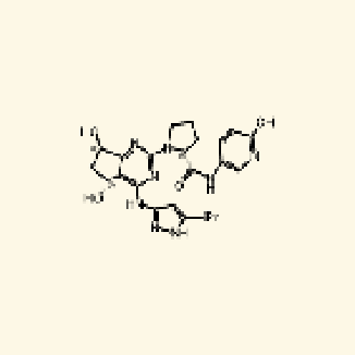 CC(C)c1cc(Nc2nc(N3CCC[C@@H]3C(=O)Nc3ccc(O)nc3)nc3c2[C@H](O)C[C@H]3O)n[nH]1